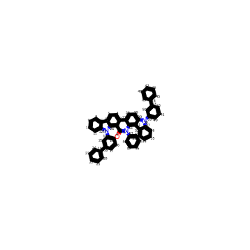 O=c1c2c(ccc3c4ccccc4n(-c4cccc(-c5ccccc5)c4)c32)c2ccc3c(c4ccccc4n3-c3cccc(-c4ccccc4)c3)c2n1-c1ccccc1